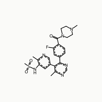 Cc1ncc(-c2c(C)ncnc2-c2ccc(C(=O)N3CCN(C)CC3)c(F)c2)cc1NS(C)(=O)=O